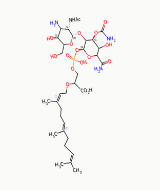 CC(=O)N[C@H]1C(N)[C@H](O)C(CO)O[C@H]1OC1[C@H](OP(=O)(O)OCC(OC/C=C(/C)CC/C=C(\C)CCC=C(C)C)C(=O)O)OC(C(N)=O)C(O)[C@@H]1OC(N)=O